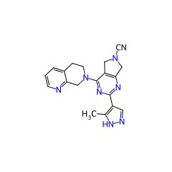 Cc1[nH]ncc1-c1nc2c(c(N3CCc4cccnc4C3)n1)CN(C#N)C2